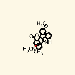 COc1ccc(C2(c3c(-c4ccccc4)[nH]c4ccccc34)OC(=O)c3cc(N(C)C)ccc32)cc1